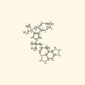 C#C/C=C\C(=C/C)n1nc(S(N)(=O)=NC(=O)Nc2c3c(cc4c2CCC4)CCC3)cc1C(C)(C)O